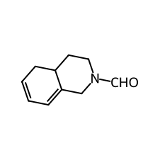 O=CN1CCC2CC=CC=C2C1